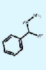 CCCC(NN)c1ccccc1